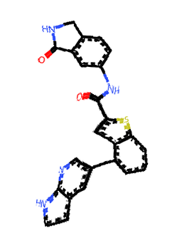 O=C(Nc1ccc2c(c1)C(=O)NC2)c1cc2c(-c3cnc4[nH]ccc4c3)cccc2s1